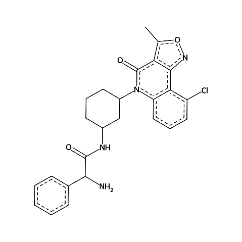 Cc1onc2c1c(=O)n(C1CCCC(NC(=O)C(N)c3ccccc3)C1)c1cccc(Cl)c21